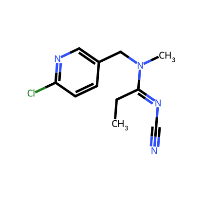 CC/C(=N\C#N)N(C)Cc1ccc(Cl)nc1